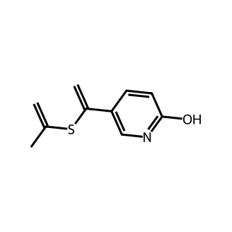 C=C(C)SC(=C)c1ccc(O)nc1